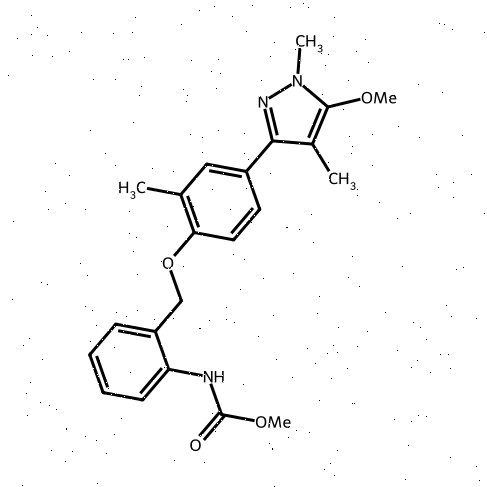 COC(=O)Nc1ccccc1COc1ccc(-c2nn(C)c(OC)c2C)cc1C